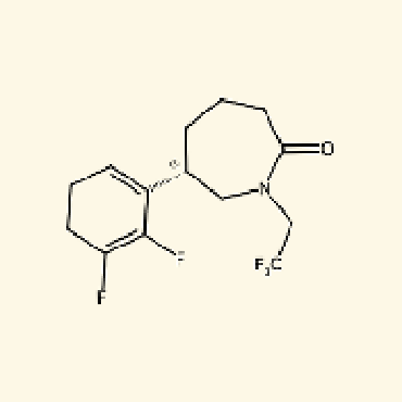 O=C1CCC[C@@H](C2=CCCC(F)=C2F)CN1CC(F)(F)F